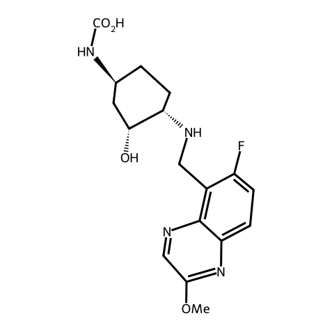 COc1cnc2c(CN[C@H]3CC[C@H](NC(=O)O)C[C@H]3O)c(F)ccc2n1